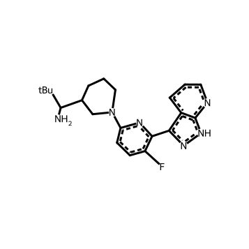 CC(C)(C)C(N)C1CCCN(c2ccc(F)c(-c3n[nH]c4ncccc34)n2)C1